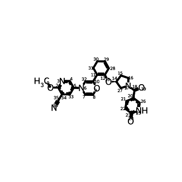 COc1ncc(N2C=COC(C3=C(O[C@H]4CCN(C(=O)c5ccc(=O)[nH]c5)C4)C=CCC3)=C2)cc1C#N